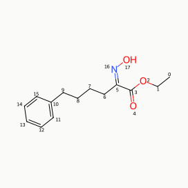 CCOC(=O)C(CCCCc1ccccc1)=NO